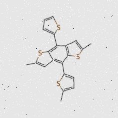 Cc1ccc(-c2c3cc(C)sc3c(-c3cccs3)c3cc(C)sc23)s1